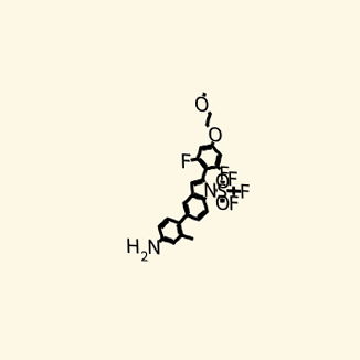 COCCOc1cc(F)c(-c2cc3cc(-c4ccc(N)cc4C)ccc3n2S(=O)(=O)C(F)(F)F)c(F)c1